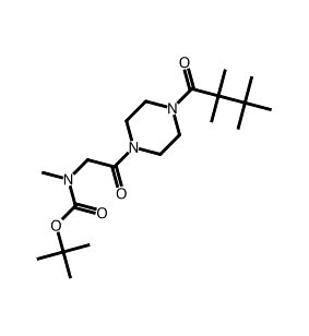 CN(CC(=O)N1CCN(C(=O)C(C)(C)C(C)(C)C)CC1)C(=O)OC(C)(C)C